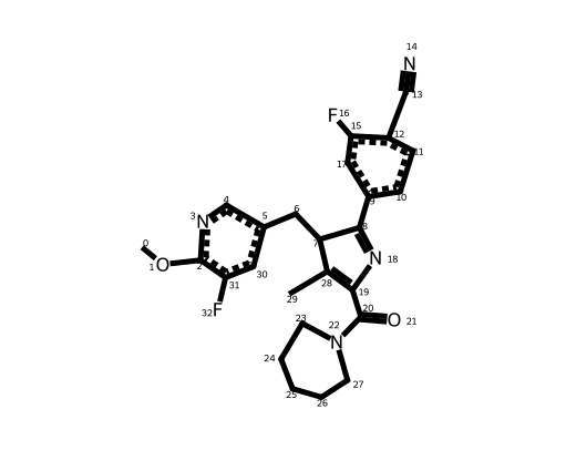 COc1ncc(CC2C(c3ccc(C#N)c(F)c3)=NC(C(=O)N3CCCCC3)=C2C)cc1F